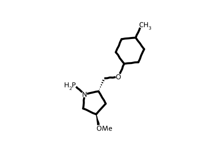 CO[C@@H]1C[C@@H](COC2CCC(C)CC2)N(P)C1